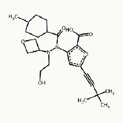 CC1CCC(C(=O)N(c2cc(C#CC(C)(C)C)sc2C(=O)O)N(CCO)C2COC2)CC1